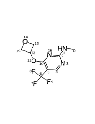 CNc1ncc(C(F)(F)F)c(OC2COC2)n1